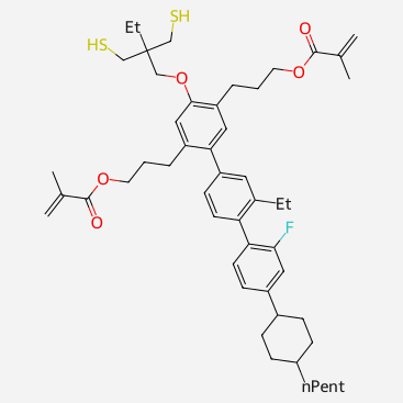 C=C(C)C(=O)OCCCc1cc(-c2ccc(-c3ccc(C4CCC(CCCCC)CC4)cc3F)c(CC)c2)c(CCCOC(=O)C(=C)C)cc1OCC(CC)(CS)CS